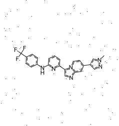 Cn1cc(-c2ccn3c(-c4cccc(Nc5ccc(C(F)(F)F)cc5)n4)cnc3c2)cn1